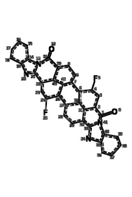 O=c1c2cc(F)c3c4ccc5c(=O)n6c7ccccc7nc6c6cc(F)c(c7ccc(c2c73)c2nc3ccccc3n12)c4c56